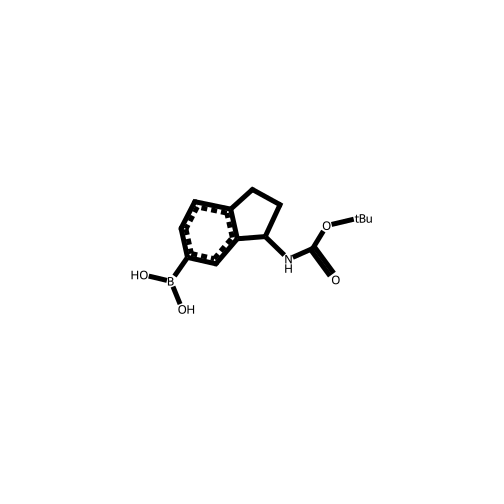 CC(C)(C)OC(=O)NC1CCc2ccc(B(O)O)cc21